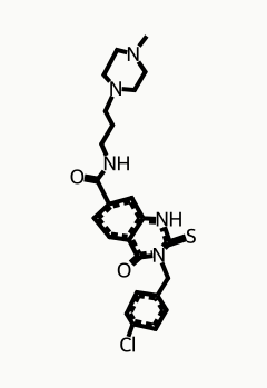 CN1CCN(CCCNC(=O)c2ccc3c(=O)n(Cc4ccc(Cl)cc4)c(=S)[nH]c3c2)CC1